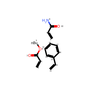 C=CC(=O)OCCCC.C=CC(N)=O.C=Cc1ccccc1